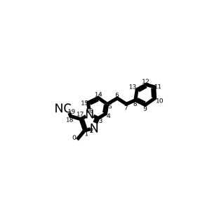 Cc1nc2cc(CCc3ccccc3)ccn2c1CC#N